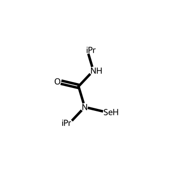 CC(C)NC(=O)N([SeH])C(C)C